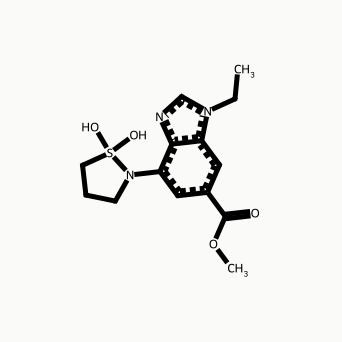 CCn1cnc2c(N3CCCS3(O)O)cc(C(=O)OC)cc21